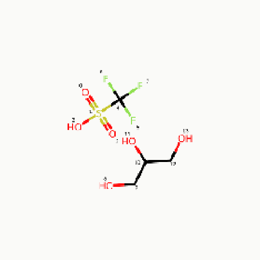 O=S(=O)(O)C(F)(F)F.OCC(O)CO